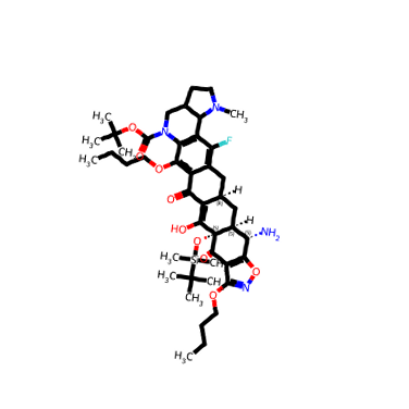 CCCCOc1noc2c1C(=O)[C@@]1(O[Si](C)(C)C(C)(C)C)C(O)=C3C(=O)c4c(c(F)c5c(c4OCCCC)N(C(=O)OC(C)(C)C)CC4CCN(C)C54)C[C@H]3C[C@H]1[C@@H]2N